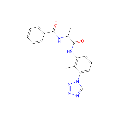 Cc1c(NC(=O)C(C)NC(=O)c2ccccc2)cccc1-n1cnnn1